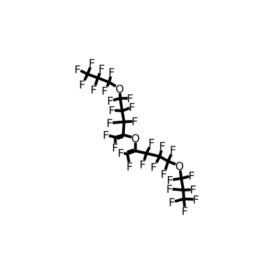 FC(F)=C(OC(=C(F)F)C(F)(F)C(F)(F)C(F)(F)OC(F)(F)C(F)(F)C(F)(F)F)C(F)(F)C(F)(F)C(F)(F)OC(F)(F)C(F)(F)C(F)(F)F